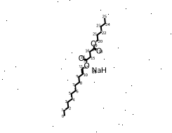 CCCCCCCCCCC=COC(=O)CCC(=O)OCCCCCC.[NaH]